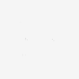 Cc1cc2c([N+](=O)[O-])ccc(C)c2[nH]1